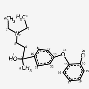 CCN(CC)CCC(C)(O)c1ccc(Oc2ccccc2Cl)cc1